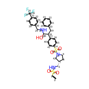 C=CS(=O)(=O)NC[C@H]1CCN(S(=O)(=O)c2ccc(C(Cc3ccccc3)C(O)NCc3ccc(C(F)(F)F)cc3)cc2)C1